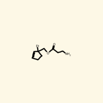 CCC1(COC(=O)CCN)C=CCC1